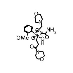 COc1ccccc1S(=O)(=O)[N+](O)(CCC(=O)N1CCOCC1)[C@H](CCN1CCOCC1)C(N)=O